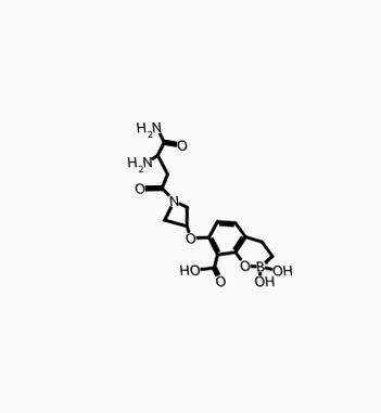 NC(=O)C(N)CC(=O)N1CC(Oc2ccc3c(c2C(=O)O)O[B-](O)(O)CC3)C1